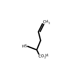 C=CCC(S)C(=O)O